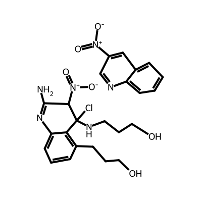 NC1=Nc2cccc(CCCO)c2C(Cl)(NCCCO)C1[N+](=O)[O-].O=[N+]([O-])c1cnc2ccccc2c1